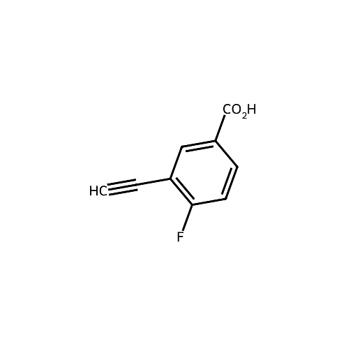 C#Cc1cc(C(=O)O)ccc1F